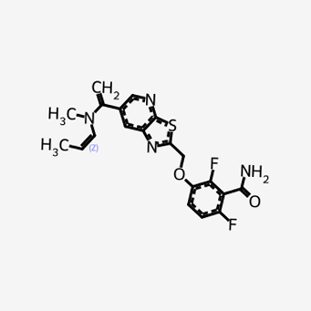 C=C(c1cnc2sc(COc3ccc(F)c(C(N)=O)c3F)nc2c1)N(C)/C=C\C